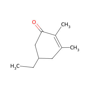 CCC1CC(=O)C(C)=C(C)C1